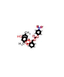 CC1CC2CC(O)(C1)CC(C)C21OOC2(CCCC=C2COC(=O)Oc2ccc([N+](=O)[O-])cc2)OO1